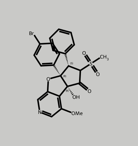 COc1cncc2c1[C@]1(O)C(=O)C(S(C)(=O)=O)[C@@H](c3ccccc3)[C@]1(c1ccc(Br)cc1)O2